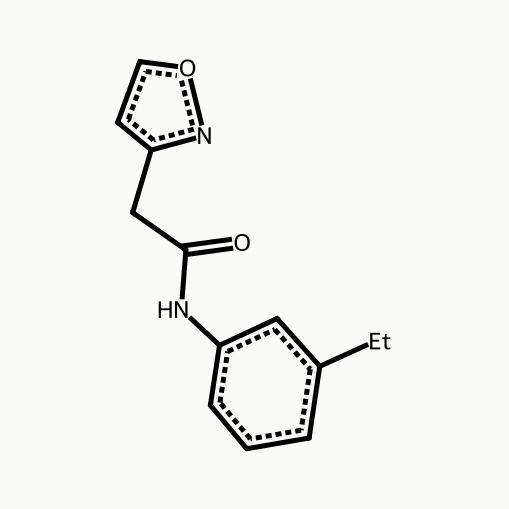 CCc1cccc(NC(=O)Cc2ccon2)c1